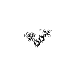 C1=NC=NC1.C1=NC=NC1.O=S(=O)([O-])C(F)(F)F.O=S(=O)([O-])C(F)(F)F.[Cu+2]